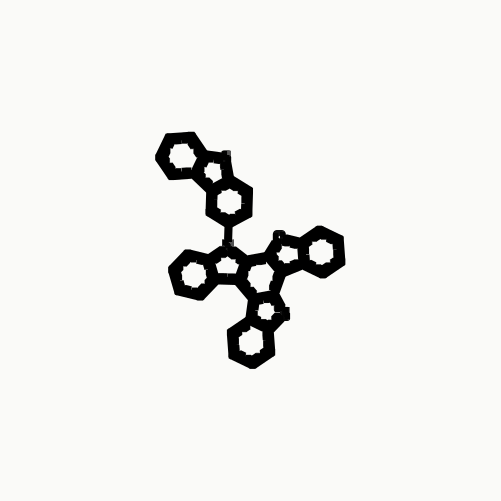 c1ccc2c(c1)oc1c2c2sc3ccccc3c2c2c3ccccc3n(-c3ccc4sc5ccccc5c4c3)c12